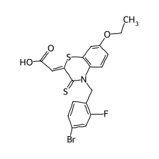 CCOc1ccc2c(c1)SC(=CC(=O)O)C(=S)N2Cc1ccc(Br)cc1F